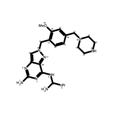 CCCC(N)Nc1nc(N)nc2cn(Cc3ccc(CN4CCNCC4)cc3OC)nc12